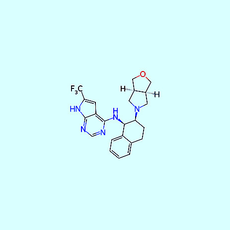 FC(F)(F)c1cc2c(N[C@@H]3c4ccccc4CC[C@@H]3N3C[C@H]4COC[C@H]4C3)ncnc2[nH]1